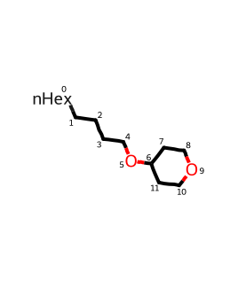 CCCCCCCCCCOC1CCOCC1